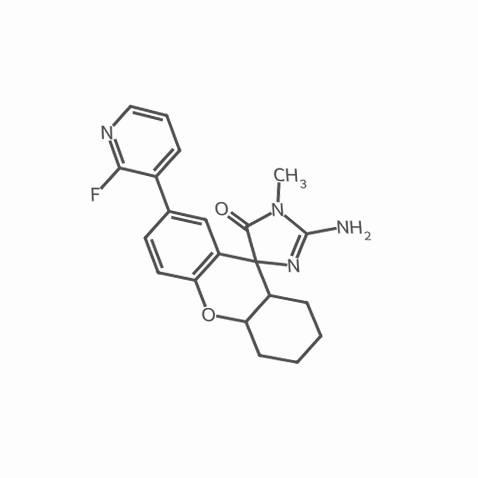 CN1C(=O)C2(N=C1N)c1cc(-c3cccnc3F)ccc1OC1CCCCC12